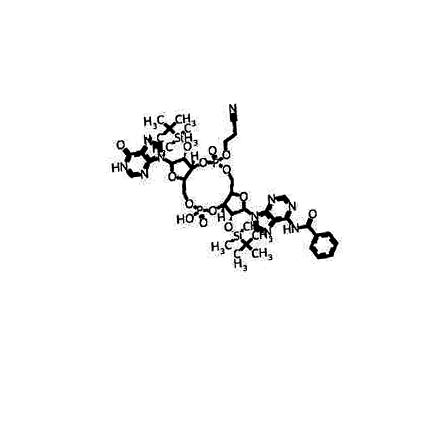 CC(C)(C)[Si](C)(C)O[C@H]1C(n2cnc3c(NC(=O)c4ccccc4)ncnc32)OC2COP(=O)(OCCC#N)O[C@@H]3C(COP(=O)(O)O[C@H]21)OC(n1cnc2c(=O)[nH]cnc21)[C@@H]3O[Si](C)(C)C(C)(C)C